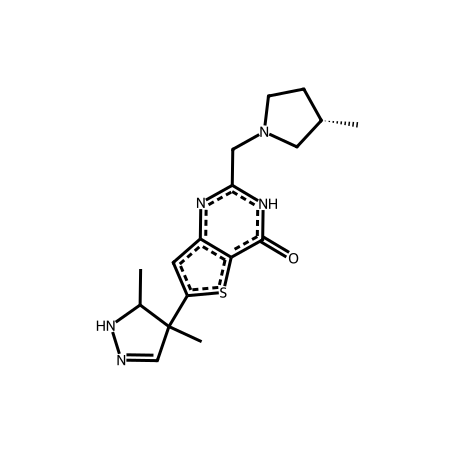 CC1NN=CC1(C)c1cc2nc(CN3CC[C@H](C)C3)[nH]c(=O)c2s1